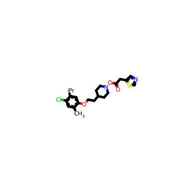 Cc1cc(Cl)c(C(C)C)cc1OCCC1CCN(OC(=O)Cc2cncs2)CC1